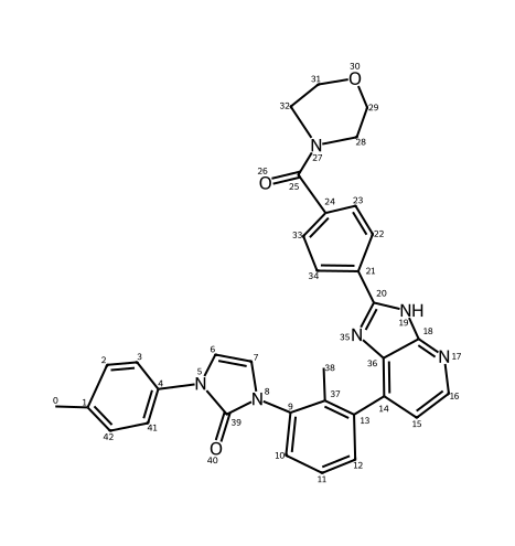 Cc1ccc(-n2ccn(-c3cccc(-c4ccnc5[nH]c(-c6ccc(C(=O)N7CCOCC7)cc6)nc45)c3C)c2=O)cc1